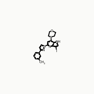 Cc1cccc(-c2ccn(-c3cc(N4CCOCC4)c4[nH]cc(I)c4n3)n2)c1